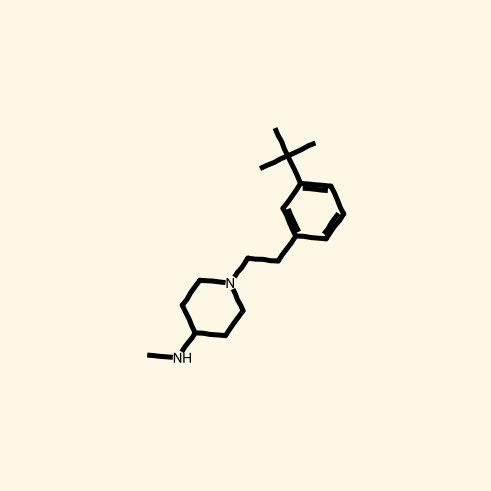 CNC1CCN(CCc2cccc(C(C)(C)C)c2)CC1